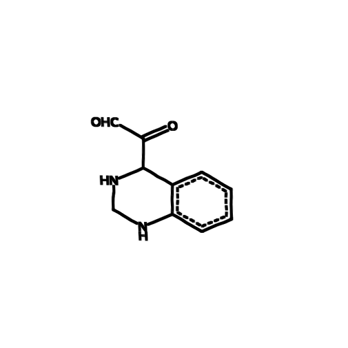 O=CC(=O)C1NCNc2ccccc21